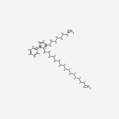 CCCCCCCCCCCCCCCCCC1N(CCCCCCCC)C=CN1c1ccccc1